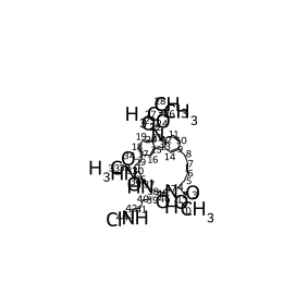 COC(=O)[C@@H]1CC=CCc2ccc3c(c2)c2cc(ccc2n3C(=O)OC(C)(C)C)CC(NC(C)=O)C(=O)N[C@@H](CCCCNCl)C(=O)N1